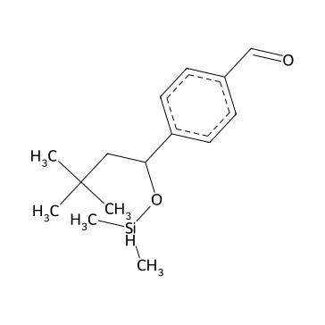 C[SiH](C)OC(CC(C)(C)C)c1ccc(C=O)cc1